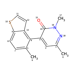 Cc1[c]c(-c2c(C)ccc3sccc23)c(=O)n(C)n1